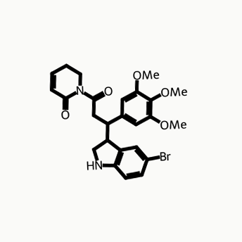 COc1cc(C(CC(=O)N2CCC=CC2=O)C2CNc3ccc(Br)cc32)cc(OC)c1OC